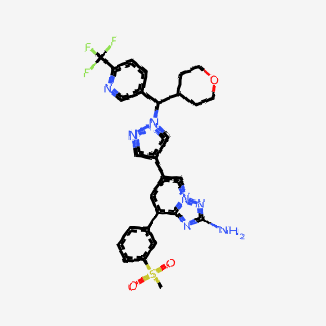 CS(=O)(=O)c1cccc(-c2cc(-c3cnn(C(c4ccc(C(F)(F)F)nc4)C4CCOCC4)c3)cn3nc(N)nc23)c1